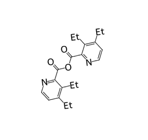 CCc1ccnc(C(=O)OC(=O)c2nccc(CC)c2CC)c1CC